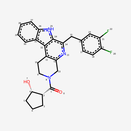 O=C([C@@H]1CCC[C@@H]1O)N1CCc2c(nc(Cc3ccc(F)c(F)c3)c3[nH]c4ccccc4c23)C1